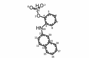 O=[SH](=O)Oc1ccccc1Nc1ccc2ccccc2c1